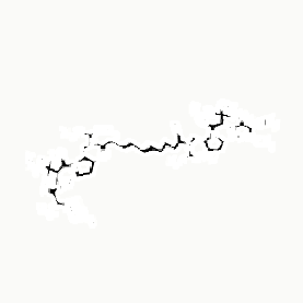 CN[C@@H](C)C(=O)N[C@H](C(=O)N1CCC[C@H]1CN(C(=O)CCCCCCCCC(=O)N(C[C@@H]1CCCN1C(=O)[C@@H](NC(=O)[C@H](C)NC)C(C)(C)C)C(C)C)C(C)C)C(C)(C)C